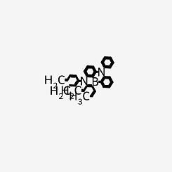 C=C/C=C\C(=C/C=C)N1C(C=C)=C(/C=C\C)B2c3ccccc3N(c3ccccc3)c3cccc1c32